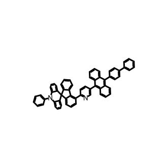 c1ccc(-c2ccc(-c3c4ccccc4c(-c4ccc(-c5cccc6c5-c5ccccc5C65c6ccccc6N(c6ccccc6)c6ccccc65)nc4)c4ccccc34)cc2)cc1